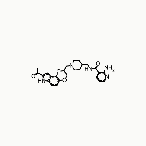 CC(=O)c1cc2c3c(ccc2[nH]1)OCC(CN1CCC(CNC(=O)c2cccnc2N)CC1)O3